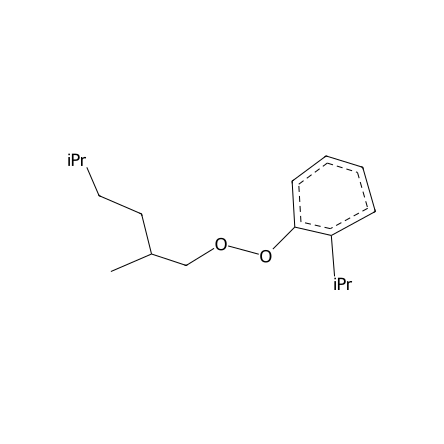 CC(C)CCC(C)COOc1ccccc1C(C)C